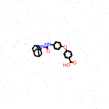 O=C(Nc1ccc(Oc2ccc(C(=O)O)cc2)cc1)NC12CC3CC(CC(C3)C1)C2